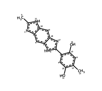 Cc1nc2cc3[nH]c(-c4cc(O)c(C)cc4O)nc3cc2[nH]1